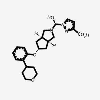 O=C(O)c1ccn([C@H](O)N2C[C@H]3C[C@H](Oc4ccccc4C4CCOCC4)C[C@H]3C2)n1